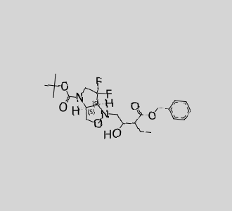 CCC(C(=O)OCc1ccccc1)C(O)CN1OC[C@@H]2[C@H]1C(F)(F)CN2C(=O)OC(C)(C)C